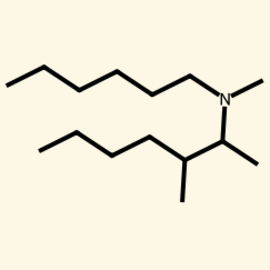 CCCCCCN(C)C(C)C(C)CCCC